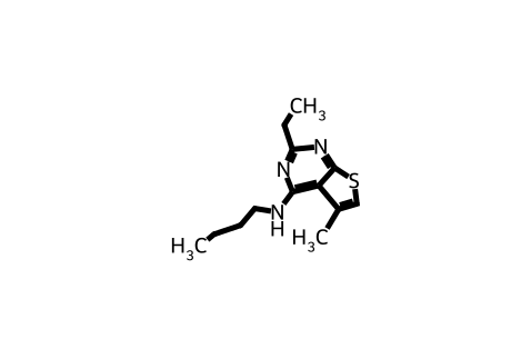 CCCCNc1nc(CC)nc2scc(C)c12